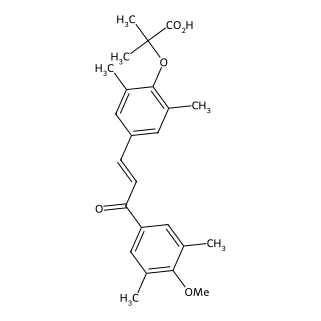 COc1c(C)cc(C(=O)C=Cc2cc(C)c(OC(C)(C)C(=O)O)c(C)c2)cc1C